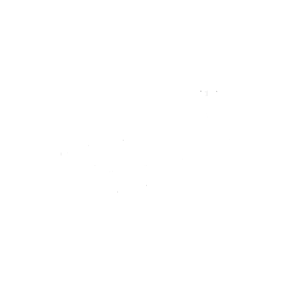 CC(=O)Nc1cccc(OCC(=O)C2C(=O)OC(C)(C)OC2=O)c1